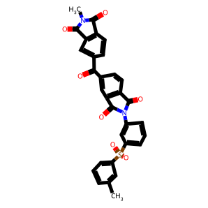 Cc1cccc(S(=O)(=O)c2cccc(N3C(=O)c4ccc(C(=O)c5ccc6c(c5)C(=O)N(C)C6=O)cc4C3=O)c2)c1